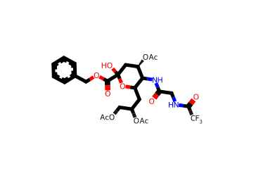 CC(=O)OCC(CC1OC(O)(C(=O)OCc2ccccc2)C[C@@H](OC(C)=O)C1NC(=O)CNC(=O)C(F)(F)F)OC(C)=O